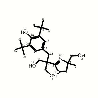 CC1(CO)COC(C(CO)(CO)Cc2cc(C(C)(C)C)c(O)c(C(C)(C)C)c2)=N1